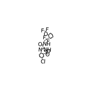 O=C(NCC(F)(F)c1ccccc1OC(F)F)C1=Nc2ccc(Cl)cc2S(=O)(=O)N1